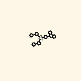 c1ccc(-c2cccc(-c3nc(-c4ccc(-c5cc6ccccc6c6ccccc56)cc4)nc(-c4cccc(-c5ccccc5)c4)n3)c2)cc1